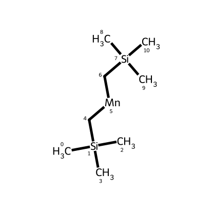 C[Si](C)(C)[CH2][Mn][CH2][Si](C)(C)C